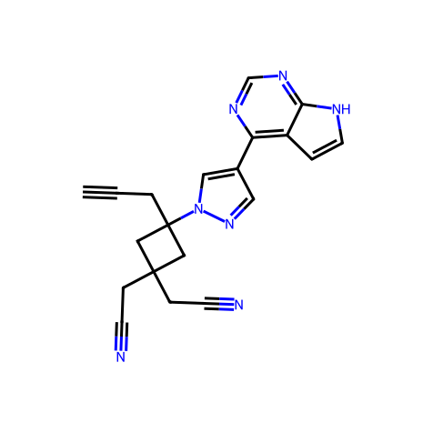 C#CCC1(n2cc(-c3ncnc4[nH]ccc34)cn2)CC(CC#N)(CC#N)C1